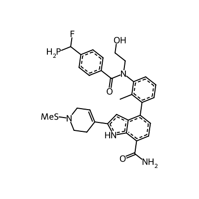 CSN1CC=C(c2cc3c(-c4cccc(N(CCO)C(=O)c5ccc(C(F)P)cc5)c4C)ccc(C(N)=O)c3[nH]2)CC1